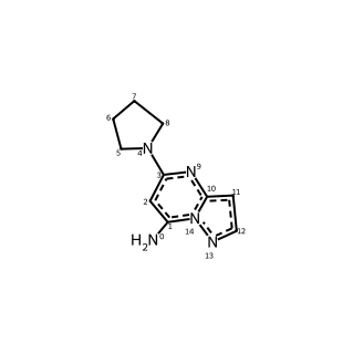 Nc1cc(N2CCCC2)nc2ccnn12